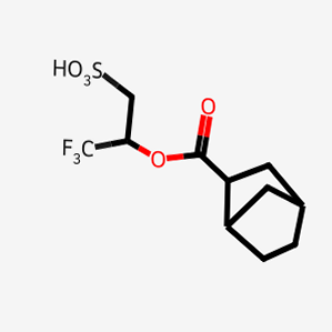 O=C(OC(CS(=O)(=O)O)C(F)(F)F)C1CC2CCC1C2